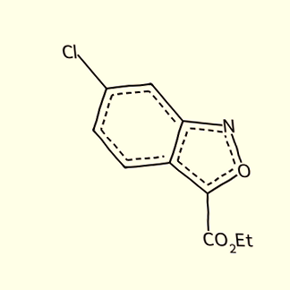 CCOC(=O)c1onc2cc(Cl)ccc12